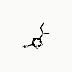 CCN(C)c1cc(O)ns1